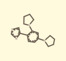 c1nc(-c2ccc(N3CCCC3)cc2N2CCCC2)cs1